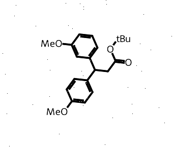 COc1ccc(C(CC(=O)OC(C)(C)C)c2cccc(OC)c2)cc1